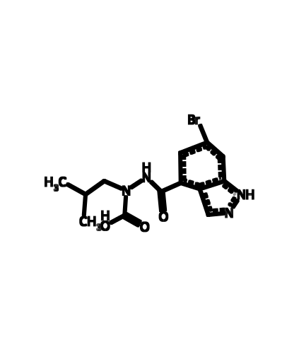 CC(C)CN(NC(=O)c1cc(Br)cc2[nH]ncc12)C(=O)O